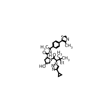 CCC(C)(C)C(C(=O)N1C[C@H](O)C[C@H]1C(=O)N[C@@H](C)c1ccc(-c2scnc2C)cc1)n1cc(C2CC2)nn1